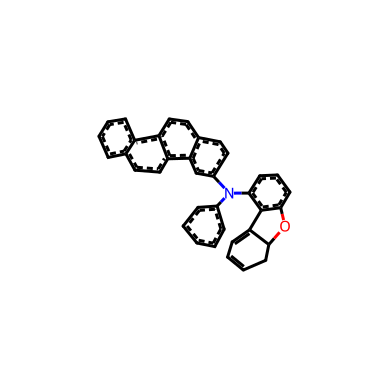 C1=CCC2Oc3cccc(N(c4ccccc4)c4ccc5ccc6c7ccccc7ccc6c5c4)c3C2=C1